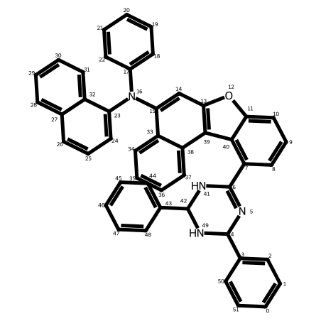 c1ccc(C2N=C(c3cccc4oc5cc(N(c6ccccc6)c6cccc7ccccc67)c6ccccc6c5c34)NC(c3ccccc3)N2)cc1